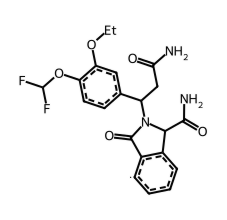 CCOc1cc(C(CC(N)=O)N2C(=O)c3[c]cccc3C2C(N)=O)ccc1OC(F)F